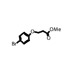 COC(=O)CCOc1ccc(Br)cc1